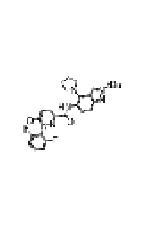 CC(C)(C)n1cc2c(N3CCCC3)c(NC(=O)c3ccc(=O)n(-c4c(F)cccc4F)n3)ccc2n1